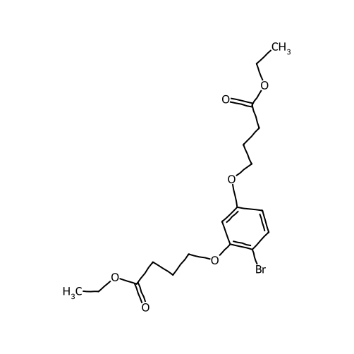 CCOC(=O)CCCOc1ccc(Br)c(OCCCC(=O)OCC)c1